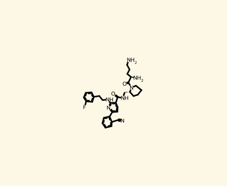 N#Cc1ccccc1-c1ccc(C(=O)NC[C@H]2CCCCN2C(=O)[C@H](N)CCCN)c(NCCc2cccc(F)c2)n1